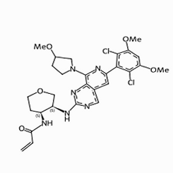 C=CC(=O)N[C@H]1CCOC[C@H]1Nc1ncc2cc(-c3c(Cl)c(OC)cc(OC)c3Cl)nc(N3CCC(OC)C3)c2n1